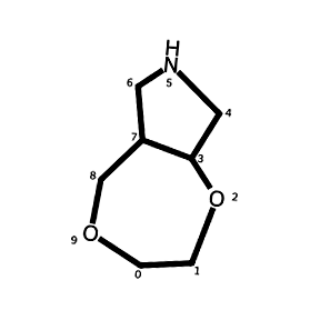 C1COC2CNCC2CO1